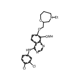 CCN1CCCOC(COc2ccc3c(Nc4ccc(Cl)c(Cl)c4)ncnc3c2OC)C1